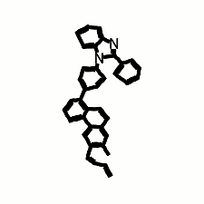 C=C/C=C\c1cc2c(ccc3c(-c4ccc(-n5c(-c6ccccc6)nc6ccccc65)cc4)cccc32)cc1C